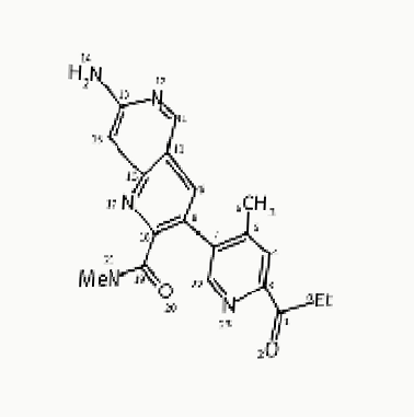 CCC(=O)c1cc(C)c(-c2cc3cnc(N)cc3nc2C(=O)NC)cn1